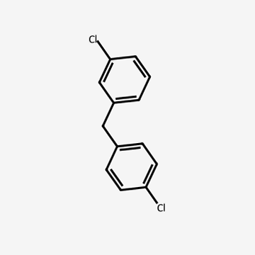 Clc1ccc(Cc2cccc(Cl)c2)cc1